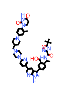 Cc1cc(N2CCC(CN3CCN(c4ccc(-c5cnc6[nH]nc(-c7ccc(C(C)NC(=O)c8noc(C(C)(C)C)n8)c(CO)c7)c6c5)cn4)CC3)CC2)ccc1N1CCC(=O)NC1=O